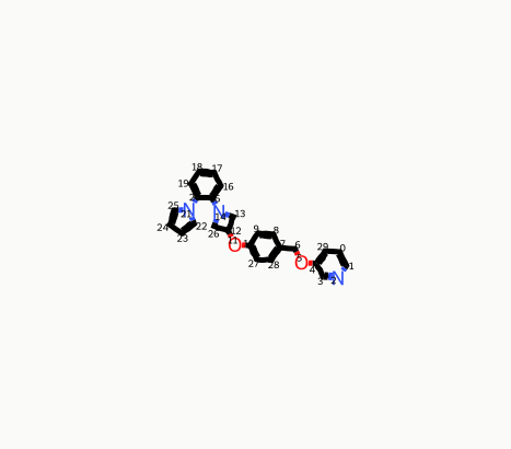 c1cncc(OCc2ccc(OC3CN(c4ccccc4-n4cccc4)C3)cc2)c1